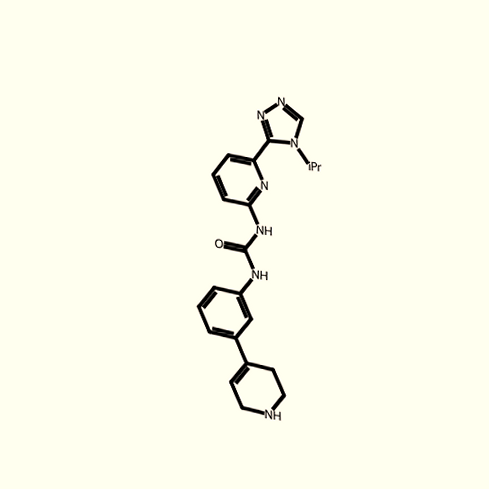 CC(C)n1cnnc1-c1cccc(NC(=O)Nc2cccc(C3=CCNCC3)c2)n1